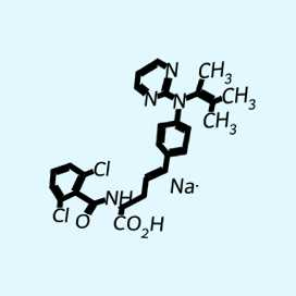 CC(C)=C(C)N(c1ccc(C=CCC(NC(=O)c2c(Cl)cccc2Cl)C(=O)O)cc1)c1ncccn1.[Na]